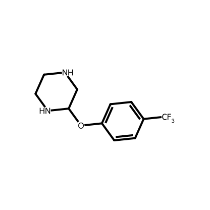 FC(F)(F)c1ccc(OC2CNCCN2)cc1